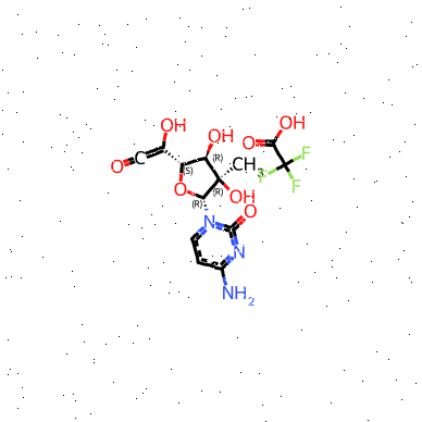 C[C@@]1(O)[C@H](O)[C@@H](C(O)=C=O)O[C@H]1n1ccc(N)nc1=O.O=C(O)C(F)(F)F